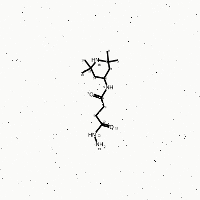 CC1(C)CC(NC(=O)CCC(=O)NN)CC(C)(C)N1